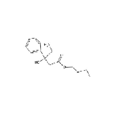 CCCCOC(=O)CC(O)(CN)c1ccccc1